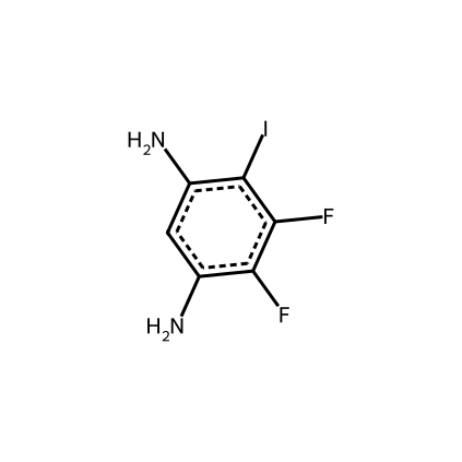 Nc1cc(N)c(I)c(F)c1F